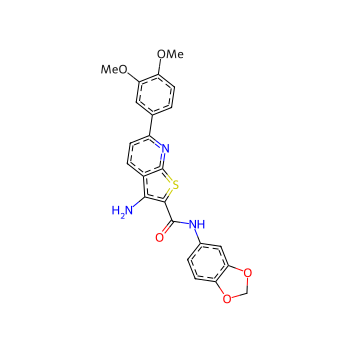 COc1ccc(-c2ccc3c(N)c(C(=O)Nc4ccc5c(c4)OCO5)sc3n2)cc1OC